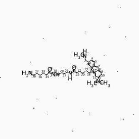 CNCc1ccc2cc3ccc(N(C)C)cc3[n+](CCCCCC(=O)NCCCCCNC(=O)CCCCCN)c2c1